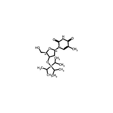 Cc1cn([C@H]2CC(O[Si](C(C)C)(C(C)C)C(C)C)[C@@H](CO)O2)c(=O)[nH]c1=O